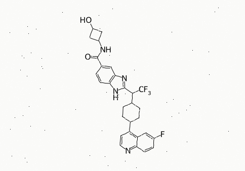 O=C(NC1CC(O)C1)c1ccc2[nH]c(C(C3CCC(c4ccnc5ccc(F)cc45)CC3)C(F)(F)F)nc2c1